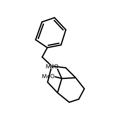 COC1(OC)C2CCCC1CN(Cc1ccccc1)C2